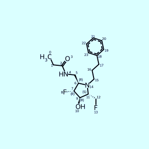 CCC(=O)NC[C@@H]1[C@@H](F)[C@H](O)[C@@H](CF)N1CCCc1ccccc1